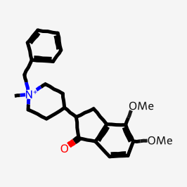 COc1ccc2c(c1OC)CC(C1CC[N+](C)(Cc3ccccc3)CC1)C2=O